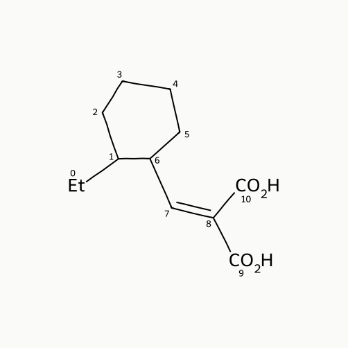 CCC1CCCCC1C=C(C(=O)O)C(=O)O